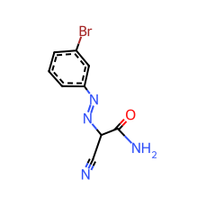 N#CC(N=Nc1cccc(Br)c1)C(N)=O